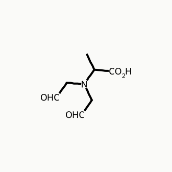 CC(C(=O)O)N(CC=O)CC=O